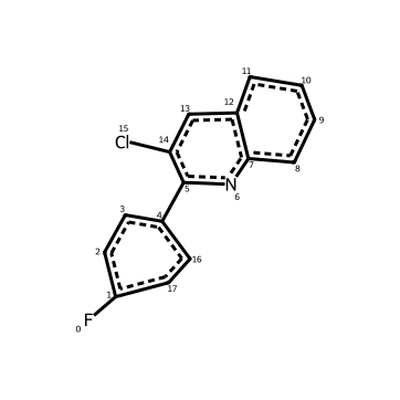 Fc1ccc(-c2nc3ccccc3cc2Cl)cc1